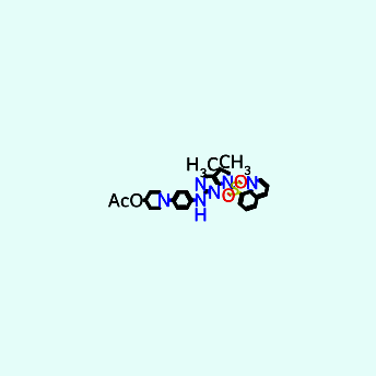 CC(=O)OC1CCN(c2ccc(Nc3ncc4c(n3)N(S(=O)(=O)c3cccc5cccnc35)CC4(C)C)cc2)CC1